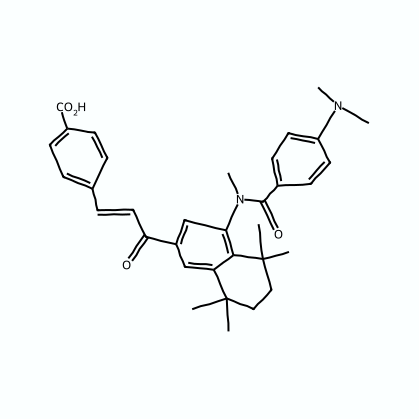 CN(C)c1ccc(C(=O)N(C)c2cc(C(=O)/C=C/c3ccc(C(=O)O)cc3)cc3c2C(C)(C)CCC3(C)C)cc1